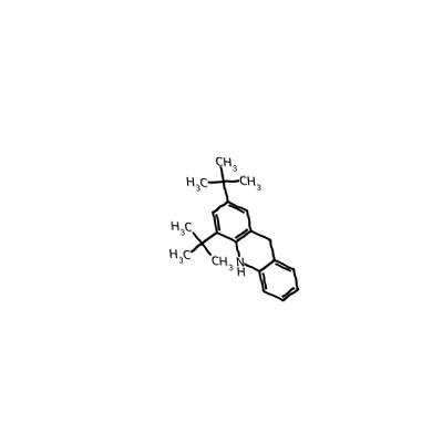 CC(C)(C)c1cc2c(c(C(C)(C)C)c1)Nc1ccccc1C2